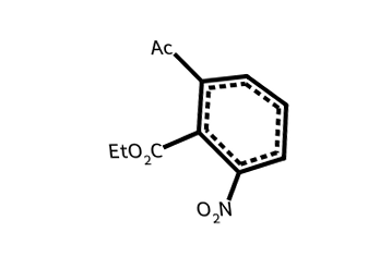 CCOC(=O)c1c(C(C)=O)cccc1[N+](=O)[O-]